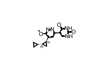 COc1nnc(-c2c[nH]c(=O)[nH]c2=O)cc1[C@H]1C[C@@H]1C1CC1